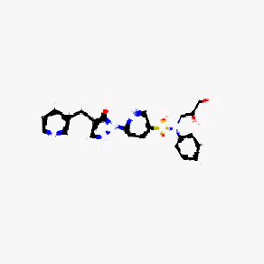 O=c1c(Cc2cccnc2)c[nH]n1-c1ccc(S(=O)(=O)N(CC(O)CO)c2ccccc2)cn1